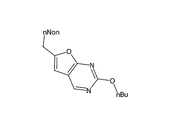 CCCCCCCCCCc1cc2cnc(OCCCC)nc2o1